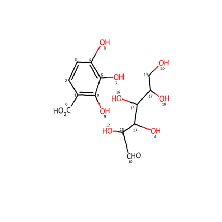 O=C(O)c1ccc(O)c(O)c1O.O=CC(O)C(O)C(O)C(O)CO